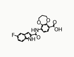 O=C(Nc1ccc(C(=O)O)c2c1OCCCO2)c1cc2cc(F)ccc2[nH]1